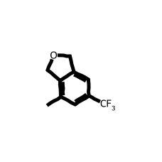 Cc1cc(C(F)(F)F)cc2c1COC2